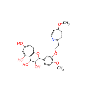 COc1ccc(C2OC3=C(C(O)=CC(O)=CC3)C(O)C2O)cc1OCCC1=NC=CC(OC)C=C1